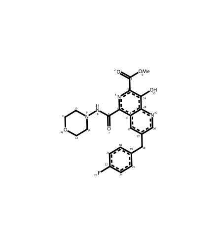 COC(=O)c1nc(C(=O)NN2CCOCC2)c2cc(Cc3ccc(F)cc3)cnc2c1O